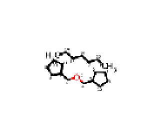 C1CCC(COCC2CCCC2)C1.CCCCCCC